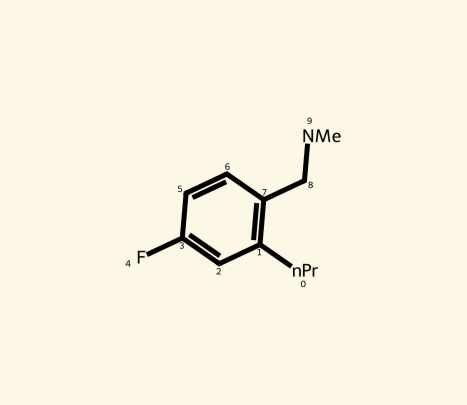 CCCc1cc(F)ccc1CNC